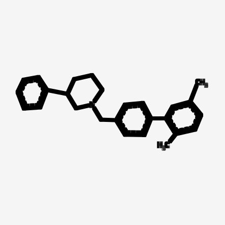 Cc1ccc(C)c(-c2ccc(CN3CCCC(c4ccccc4)C3)cc2)c1